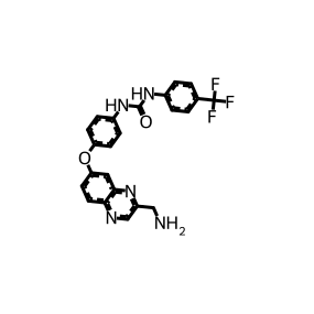 NCc1cnc2ccc(Oc3ccc(NC(=O)Nc4ccc(C(F)(F)F)cc4)cc3)cc2n1